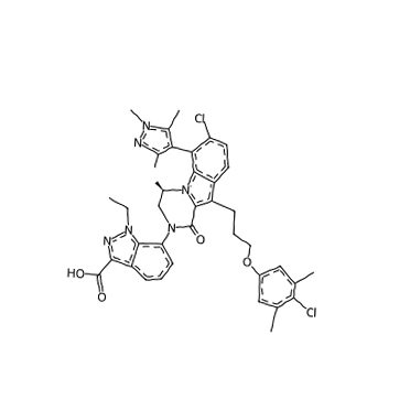 CCn1nc(C(=O)O)c2cccc(N3C[C@@H](C)n4c(c(CCCOc5cc(C)c(Cl)c(C)c5)c5ccc(Cl)c(-c6c(C)nn(C)c6C)c54)C3=O)c21